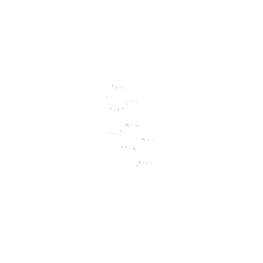 C=C(c1cc(C)c(-c2c(O)cccc2F)[n+]([O-])c1C)N(CCC)[C@@H](C)CC